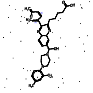 C=C(Cl)/C=C\C(=C/C)C1=NC2C=CC(C(O)N3CCN(c4ccc(C)cc4C)CC3)=CC2N=C1CCCCC(=O)O